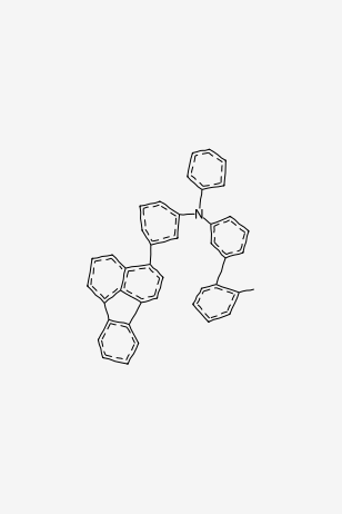 Cc1ccccc1-c1cccc(N(c2ccccc2)c2cccc(-c3ccc4c5c(cccc35)-c3ccccc3-4)c2)c1